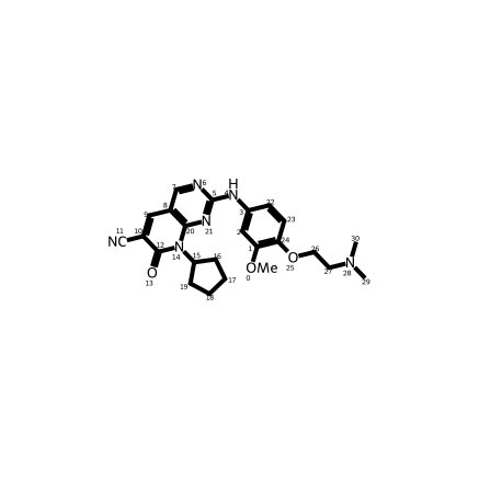 COc1cc(Nc2ncc3cc(C#N)c(=O)n(C4CCCC4)c3n2)ccc1OCCN(C)C